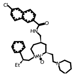 CC[C@H](CN1CC[C@@H](CNC(=O)c2ccc3cc(Cl)ccc3c2)C[C@@H](CCN2CCCCC2)[N+]1=O)c1ccccc1